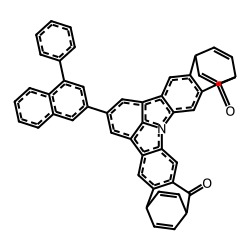 O=C1c2cc3c(cc2C2C=CC1C=C2)c1cc(-c2cc(-c4ccccc4)c4ccccc4c2)cc2c4cc5c(cc4n3c12)C(=O)C1C=CC5C=C1